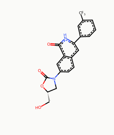 O=C1O[C@@H](CO)CN1c1ccc2cc(-c3cccc(C(F)(F)F)c3)[nH]c(=O)c2c1